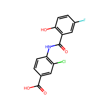 O=C(O)c1ccc(NC(=O)c2cc(F)ccc2O)c(Cl)c1